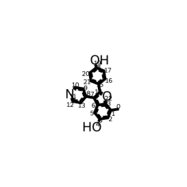 Cc1cc(O)cc2c(-c3ccncc3)c(-c3ccc(O)cc3)oc12